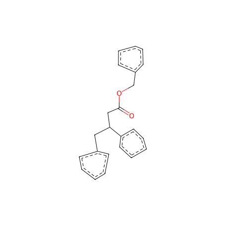 O=C(CC(Cc1ccccc1)c1ccccc1)OCc1ccccc1